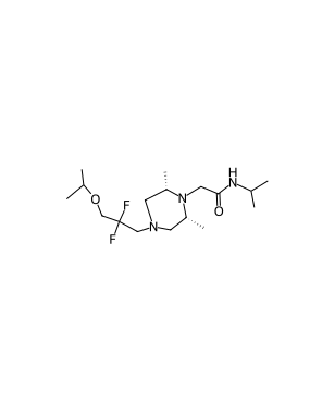 CC(C)NC(=O)CN1[C@H](C)CN(CC(F)(F)COC(C)C)C[C@@H]1C